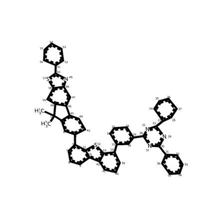 CC1(C)c2cc(-c3cccc4c3sc3c(-c5cccc(-c6nc(-c7ccccc7)nc(-c7ccccc7)n6)c5)cccc34)ccc2-c2cc3nc(-c4ccccc4)sc3cc21